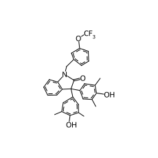 Cc1cc(C2(c3cc(C)c(O)c(C)c3)C(=O)N(Cc3cccc(OC(F)(F)F)c3)c3ccccc32)cc(C)c1O